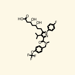 CC(C)c1c(C(=O)N(C)Cc2ccc(OC(F)(F)F)cc2)nn(-c2ccc(F)cc2)c1CC[C@@H](O)C[C@@H](O)CC(=O)O